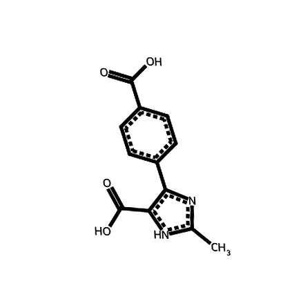 Cc1nc(-c2ccc(C(=O)O)cc2)c(C(=O)O)[nH]1